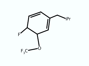 CC(C)CC1=CC(OC(F)(F)F)C(F)C=C1